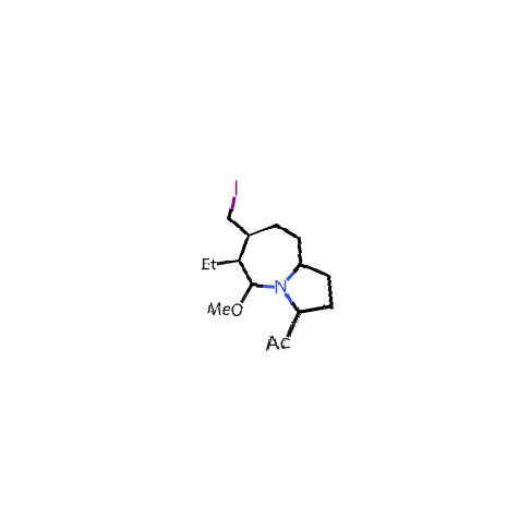 CCC1C(CI)CCC2CCC(C(C)=O)N2C1OC